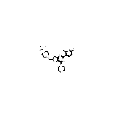 Cc1nc(N)ccc1-c1nc2c(c(N3CCOCC3)n1)SC(CN1CCN(S(C)(=O)=O)CC1)C2